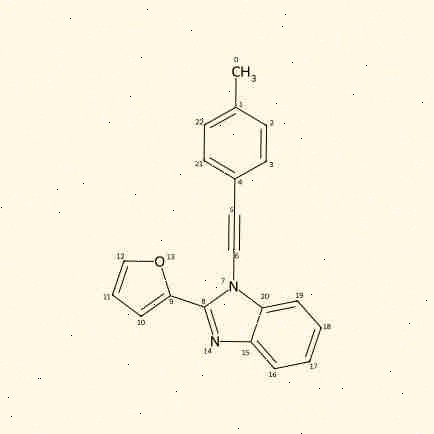 Cc1ccc(C#Cn2c(-c3ccco3)nc3ccccc32)cc1